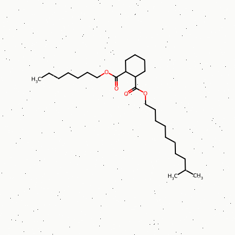 CCCCCCCOC(=O)C1CCCCC1C(=O)OCCCCCCCCC(C)C